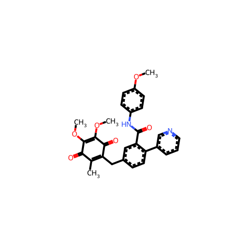 COC1=C(OC)C(=O)C(Cc2ccc(-c3cccnc3)c(C(=O)Nc3ccc(OC)cc3)c2)=C(C)C1=O